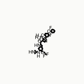 Cc1cc(Oc2c(F)cccc2F)ncc1-n1ncc(C(=O)c2cc3cc(OCC(F)F)c(NC4CNC4)cc3[nH]2)c1N